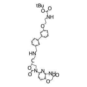 CC(C)(C)OC(=O)NCCOc1cccc(-c2cccc(CNCCC3CN(c4ccc5c(n4)NC(=O)CO5)C(=O)O3)c2)c1